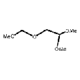 COCOCC(OC)OC